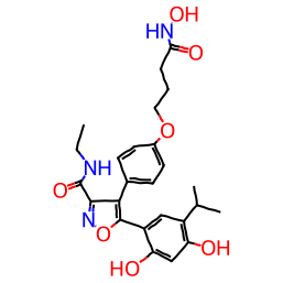 CCNC(=O)c1noc(-c2cc(C(C)C)c(O)cc2O)c1-c1ccc(OCCCC(=O)NO)cc1